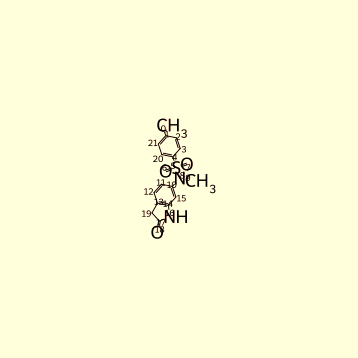 Cc1ccc(S(=O)(=O)N(C)c2ccc3c(c2)NC(=O)C3)cc1